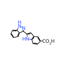 O=C(O)c1ccc2[nH]c(-c3n[nH]c4ccccc34)cc2c1